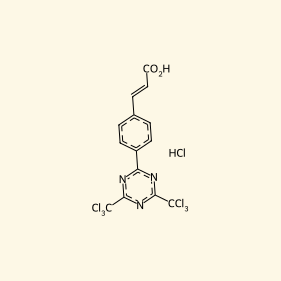 Cl.O=C(O)C=Cc1ccc(-c2nc(C(Cl)(Cl)Cl)nc(C(Cl)(Cl)Cl)n2)cc1